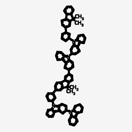 CC1(C)c2ccccc2-c2ccc(-c3cccc(-n4c5ccccc5c5ccc(-n6c7ccccc7c7cc(-c8ccc9c(c8)-c8ccc(-c%10cccc(-n%11c%12ccccc%12c%12cc(-n%13c%14ccccc%14c%14ccccc%14%13)ccc%12%11)c%10)cc8C9(C)C)ccc76)cc54)c3)cc21